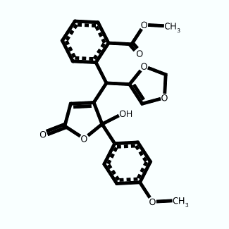 COC(=O)c1ccccc1C(C1=COCO1)C1=CC(=O)OC1(O)c1ccc(OC)cc1